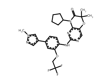 Cn1cc(-c2ccc(Nc3ncc4c(n3)N(C3CCCC3)C(=O)C(C)(C)O4)c(OCC(F)(F)F)c2)cn1